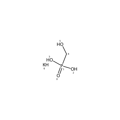 O=P(O)(O)CO.[KH]